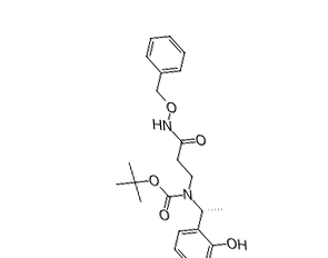 C[C@H](c1ccccc1O)N(CCC(=O)NOCc1ccccc1)C(=O)OC(C)(C)C